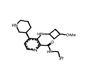 COC1CC(Nc2c(C3CCCNC3)ccnc2C(=O)NCC(C)C)C1